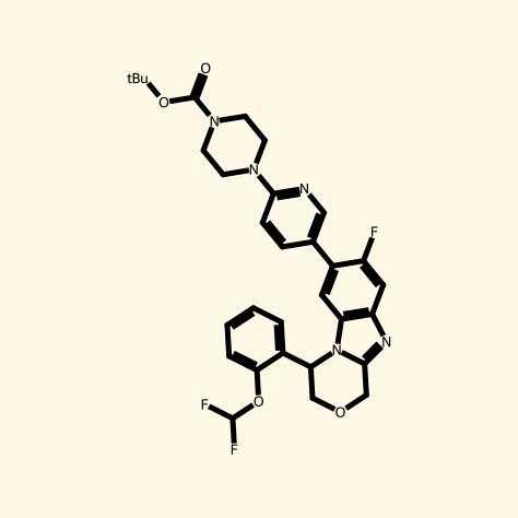 CC(C)(C)OC(=O)N1CCN(c2ccc(-c3cc4c(cc3F)nc3n4C(c4ccccc4OC(F)F)COC3)cn2)CC1